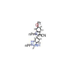 CCCNC(C)Nc1ccc(-c2c(C#N)c3ccc(OCC)cc3n2CCC)cc1